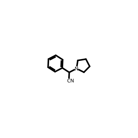 N#CC(c1ccccc1)N1CCCC1